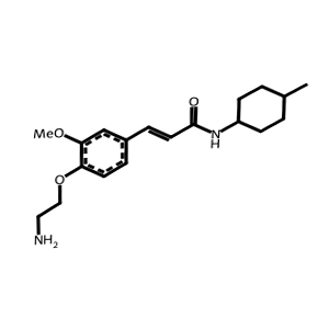 COc1cc(C=CC(=O)NC2CCC(C)CC2)ccc1OCCN